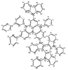 c1ccc(-c2cccc(N3c4cc(-c5ccccc5)ccc4B4c5cc(-n6c7ccccc7c7c8c(c9ccccc9n8-c8ccccc8)c8c(c9ccccc9n8-c8ccccc8)c76)ccc5N(c5ccccc5)c5cc(-n6c7ccccc7c7ccccc76)cc3c54)c2)cc1